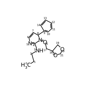 CCCNC1=NC=CC(c2ccccc2)N1OCC1COCO1